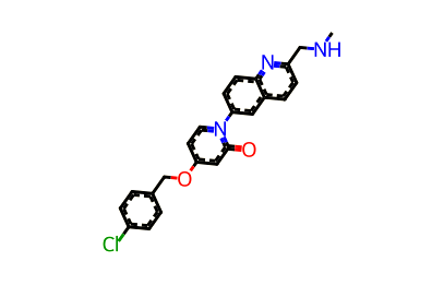 CNCc1ccc2cc(-n3ccc(OCc4ccc(Cl)cc4)cc3=O)ccc2n1